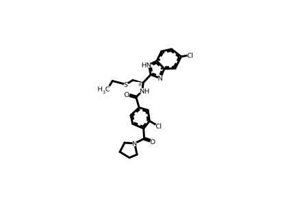 CCSC[C@H](NC(=O)c1ccc(C(=O)N2CCCC2)c(Cl)c1)c1nc2cc(Cl)ccc2[nH]1